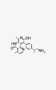 Cc1nc(O)c(-c2ccc(C(C)CN)cc2)c2c1[nH]c(=O)c1c(C)ccnc12